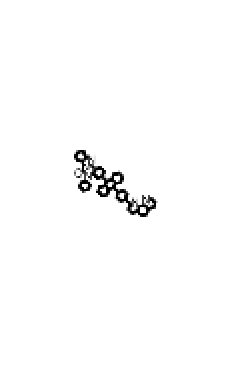 O=c1n(-c2ccccc2)c2cc(-c3c4ccccc4c(-c4ccc(-c5ccc6ccc7cccnc7c6n5)cc4)c4ccccc34)ccc2c2nc3ccccc3n12